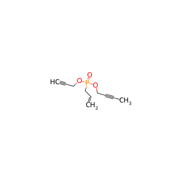 C#CCOP(=O)(CC=C)OCC#CC